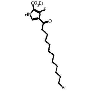 CCOC(=O)c1[nH]cc(C(=O)CCCCCCCCCCCBr)c1F